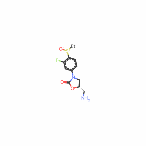 CC[S+]([O-])c1ccc(N2C[C@H](CN)OC2=O)cc1F